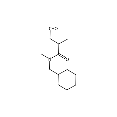 CC(CC=O)C(=O)N(C)CC1CCCCC1